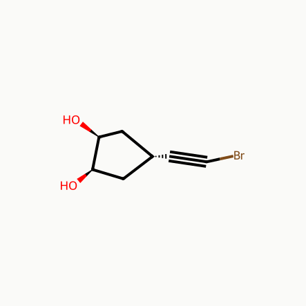 O[C@@H]1C[C@@H](C#CBr)C[C@@H]1O